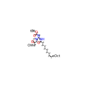 CCCCCCCC/C=C\CCCCCCCC(=O)N/C(=N/C(=O)OC(C)(C)C)N(C)CC(=O)OC